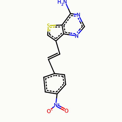 Nc1ncnc2c(C=Cc3ccc([N+](=O)[O-])cc3)csc12